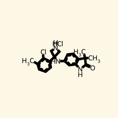 Cc1cccc(C2(Nc3ccc4c(c3)NC(=O)C4(C)C)CNC2)c1Cl.Cl